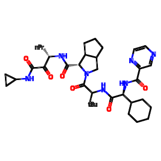 CCC[C@H](NC(=O)[C@@H]1C2CCCC2CN1C(=O)C(NC(=O)[C@@H](NC(=O)c1cnccn1)C1CCCCC1)C(C)(C)C)C(=O)C(=O)NC1CC1